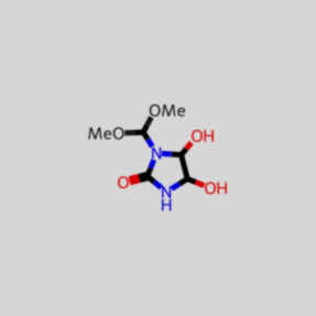 COC(OC)N1C(=O)NC(O)C1O